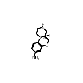 Nc1ccc2c(c1)OC[C@H]1CNCCN21